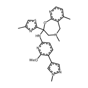 COc1nc(NC2(c3nc(C)cs3)CN(C)Cc3c(C)ccnc3O2)ccc1-c1cnn(C)c1